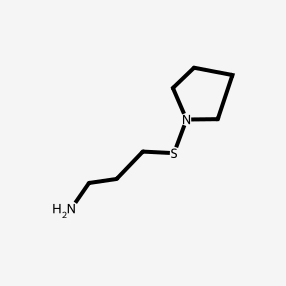 NCCCSN1CCCC1